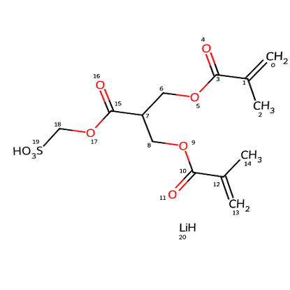 C=C(C)C(=O)OCC(COC(=O)C(=C)C)C(=O)OCS(=O)(=O)O.[LiH]